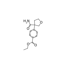 CCOC(=O)c1ccc(C2(C(N)=O)CCOC2)cc1